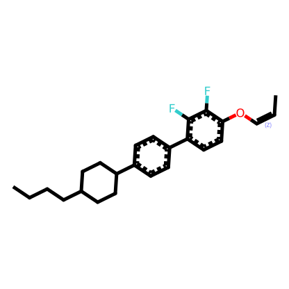 C/C=C\Oc1ccc(-c2ccc(C3CCC(CCCC)CC3)cc2)c(F)c1F